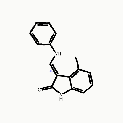 Cc1cccc2c1/C(=C\Nc1ccccc1)C(=O)N2